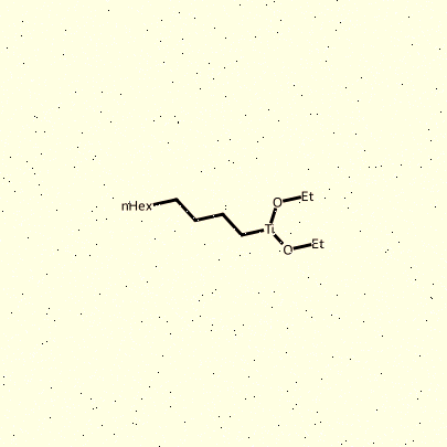 CCCCCCCCC[CH2][Ti]([O]CC)[O]CC